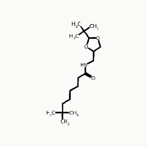 CC(C)(C)CCCCCC(=O)NCC1COC(C(C)(C)C)O1